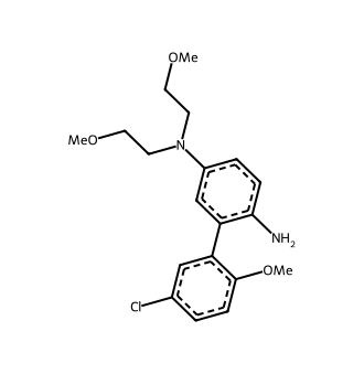 COCCN(CCOC)c1ccc(N)c(-c2cc(Cl)ccc2OC)c1